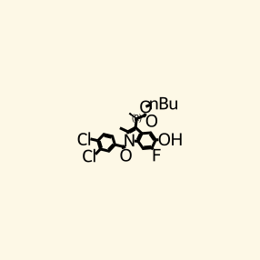 CCCCOC(=O)[C@H](C)c1c(C)n(C(=O)c2ccc(Cl)c(Cl)c2)c2cc(F)c(O)cc12